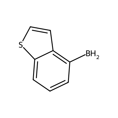 Bc1cccc2sccc12